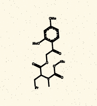 COc1ccc(C(=O)COC(=O)C(CC(C)C)N(C)C(=O)OC(C)(C)C)c(OC)c1